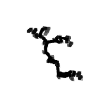 C=[CH][Mg][CH2]C(C)C